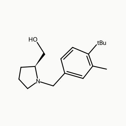 Cc1cc(CN2CCC[C@H]2CO)ccc1C(C)(C)C